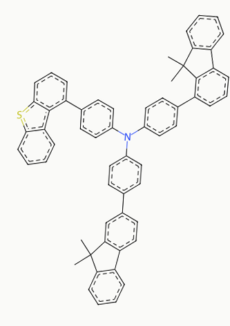 CC1(C)c2ccccc2-c2ccc(-c3ccc(N(c4ccc(-c5cccc6c5C(C)(C)c5ccccc5-6)cc4)c4ccc(-c5cccc6sc7ccccc7c56)cc4)cc3)cc21